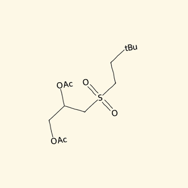 CC(=O)OCC(CS(=O)(=O)CCC(C)(C)C)OC(C)=O